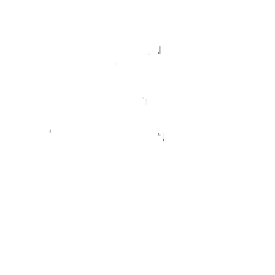 N#CC(=Cc1cn(C#Cc2ccccc2)c2ccccc12)S(=O)(=O)c1ccc(Cl)cc1